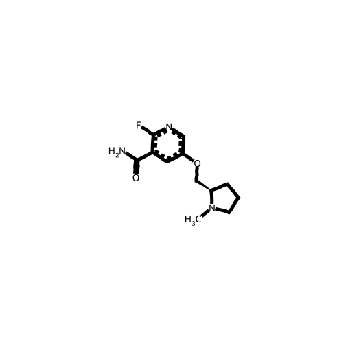 CN1CCC[C@@H]1COc1cnc(F)c(C(N)=O)c1